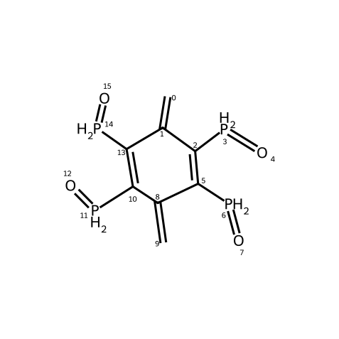 C=c1c([PH2]=O)c([PH2]=O)c(=C)c([PH2]=O)c1[PH2]=O